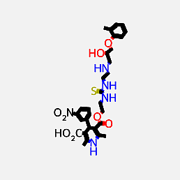 CC1=C(C(=O)O)C(c2cccc([N+](=O)[O-])c2)C(C(=O)OCCNC(=S)NCCNCC(O)COc2ccccc2C)=C(C)N1